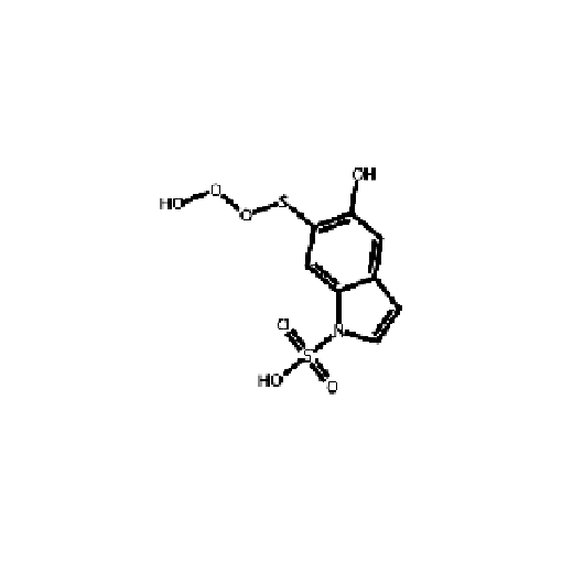 O=S(=O)(O)n1ccc2cc(O)c(SOOO)cc21